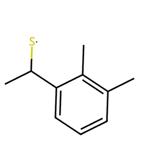 Cc1cccc(C(C)[S])c1C